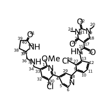 COc1nc(-c2ccnc(-c3cccc(NC(=O)c4cn(C)c(=O)n(C)c4=O)c3Cl)c2)c(Cl)cc1CNC[C@H]1CCC(=O)N1